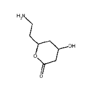 NCCC1CC(O)CC(=O)O1